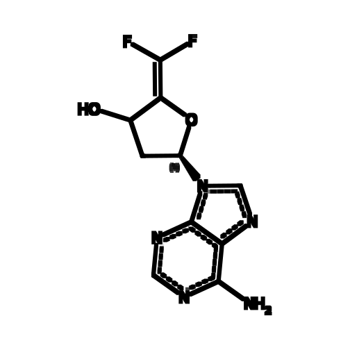 Nc1ncnc2c1ncn2[C@H]1CC(O)C(=C(F)F)O1